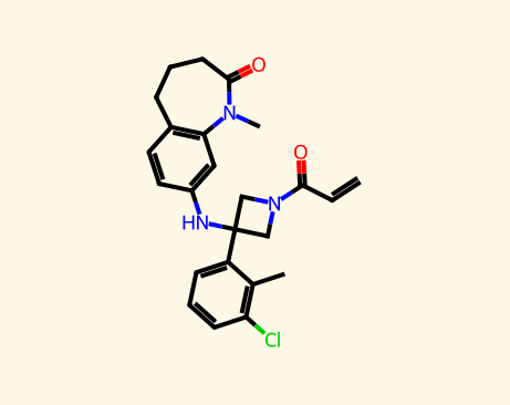 C=CC(=O)N1CC(Nc2ccc3c(c2)N(C)C(=O)CCC3)(c2cccc(Cl)c2C)C1